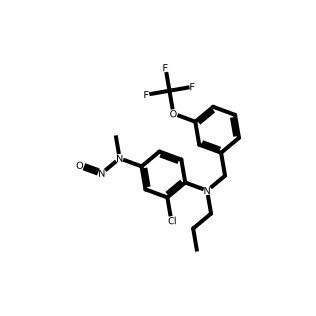 CCCN(Cc1cccc(OC(F)(F)F)c1)c1ccc(N(C)N=O)cc1Cl